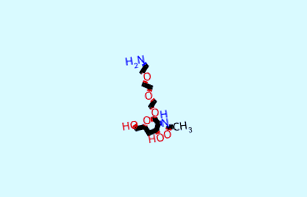 CC(=O)NC1C(O)CC(CO)OC1OCCOCCOCCN